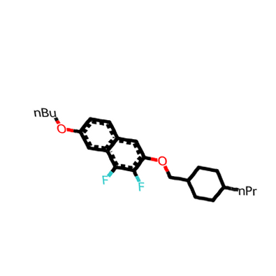 CCCCOc1ccc2cc(OCC3CCC(CCC)CC3)c(F)c(F)c2c1